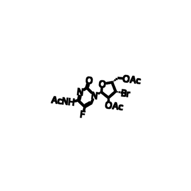 CC(=O)Nc1nc(=O)n([C@@H]2O[C@H](COC(C)=O)[C@H](Br)[C@H]2OC(C)=O)cc1F